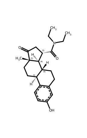 CCN(CC)C(=O)[C@H]1CC(=O)[C@@]2(C)CC[C@@H]3c4ccc(O)cc4CC[C@H]3[C@H]12